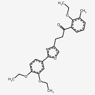 CCOc1ccc(-c2nc(CCC(=O)c3cccc(C)c3OCC)co2)cc1OCC